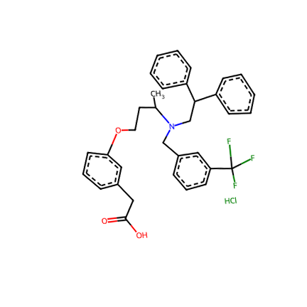 CC(CCOc1cccc(CC(=O)O)c1)N(Cc1cccc(C(F)(F)F)c1)CC(c1ccccc1)c1ccccc1.Cl